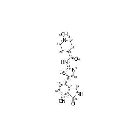 CN1CCC(C(=O)Nc2ncc(-c3ccc(C#N)c4c3CNC4=O)s2)CC1